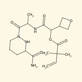 C=CC(C)(C)C(=O)OC(C(=O)NC(C)C(=O)N1CCCC(C(N)=O)N1)C1COC1